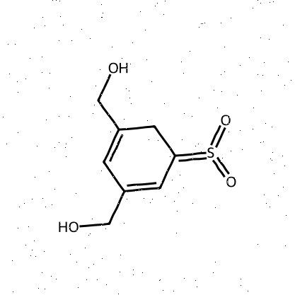 O=S(=O)=C1C=C(CO)C=C(CO)C1